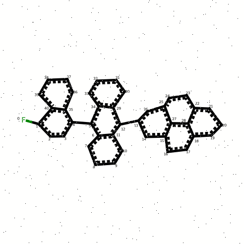 Fc1ccc(-c2c3ccccc3c(-c3cc4ccc5cccc6ccc(c3)c4c56)c3ccccc23)c2ccccc12